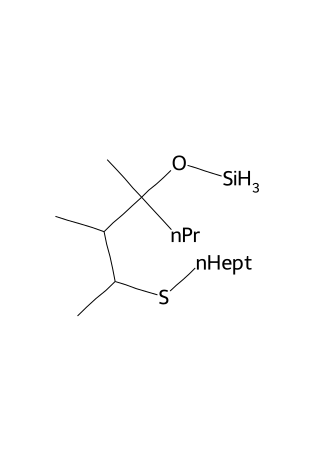 CCCCCCCSC(C)C(C)C(C)(CCC)O[SiH3]